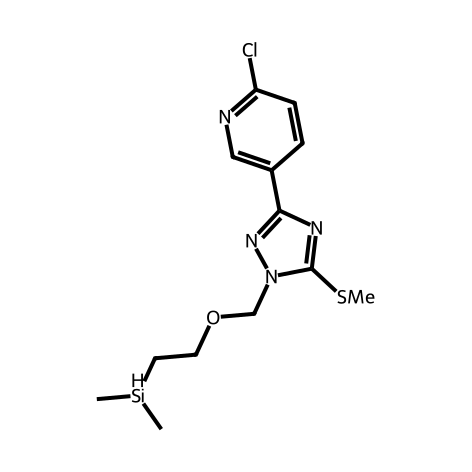 CSc1nc(-c2ccc(Cl)nc2)nn1COCC[SiH](C)C